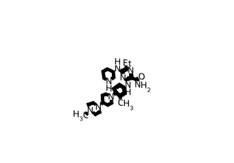 CCc1nc(C(N)=O)c(Nc2ccc(N3CCC(N4CCN(C)CC4)CC3)c(C)c2)nc1N[C@H]1CCCNC1